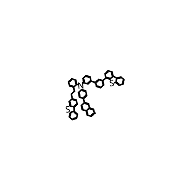 c1cc(-c2cccc(N(c3ccc(-c4ccc5ccccc5c4)cc3)c3ccccc3CCc3ccc4c(c3)sc3ccccc34)c2)cc(-c2cccc3c2sc2ccccc23)c1